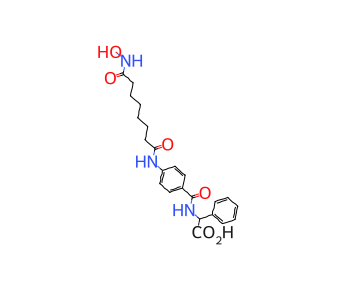 O=C(CCCCCCC(=O)Nc1ccc(C(=O)NC(C(=O)O)c2ccccc2)cc1)NO